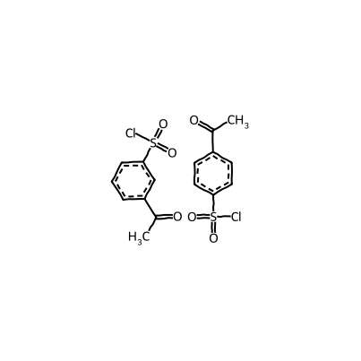 CC(=O)c1ccc(S(=O)(=O)Cl)cc1.CC(=O)c1cccc(S(=O)(=O)Cl)c1